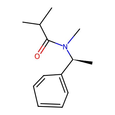 CC(C)C(=O)N(C)[C@@H](C)c1ccccc1